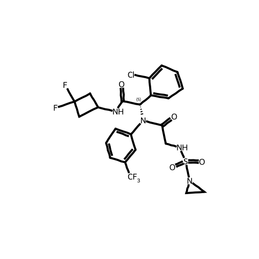 O=C(NC1CC(F)(F)C1)[C@H](c1ccccc1Cl)N(C(=O)CNS(=O)(=O)N1CC1)c1cccc(C(F)(F)F)c1